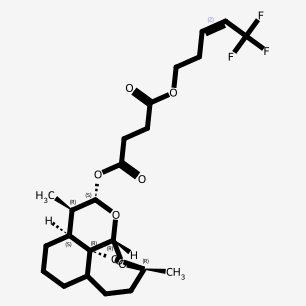 C[C@H]1[C@H](OC(=O)CCC(=O)OCC/C=C\C(F)(F)F)O[C@@H]2O[C@@]3(C)CCC4CCC[C@@H]1[C@]42OO3